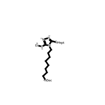 CCCCCCCCCCCCCCCCCCn1c(CCCCCCC)nnc1SCC